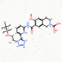 COc1cc2c(cc1C(=O)Nc1cccc(-c3nnnn3[C@H](C)CO[Si](C)(C)C(C)(C)C)n1)CN(C(=O)O)CC2